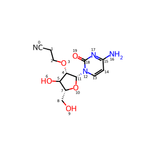 N#CCCO[C@H]1C(O)[C@@H](CO)O[C@H]1n1ccc(N)nc1=O